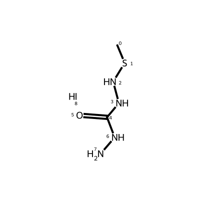 CSNNC(=O)NN.I